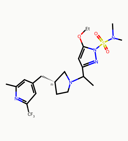 CCOc1cc(C(C)N2CC[C@H](Cc3cc(C)nc(C(F)(F)F)c3)C2)nn1S(=O)(=O)N(C)C